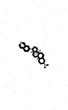 CN(C)[C@H]1CC[C@@]2(C)C(=CC[C@@H]3C2CC[C@]2(C)[C@@H](c4ccc5ccncc5c4)CC[C@@H]32)C1